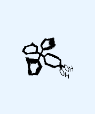 OC1(O)CCC(C(c2ccccc2)(c2ccccc2)C2CCCCC2)CC1